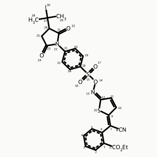 CCOC(=O)c1ccccc1/C(C#N)=C1C=C/C(=N\OS(=O)(=O)c2ccc(N3C(=O)CC(C(C)(C)I)C3=O)cc2)S/1